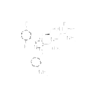 C[C@H](O)C(=O)N(CC[C@@H](N)C(F)F)[C@@H](c1nc(-c2cc(F)ccc2F)nn1Cc1cccc(N)c1)C(C)(C)C